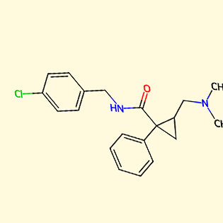 CN(C)CC1CC1(C(=O)NCc1ccc(Cl)cc1)c1ccccc1